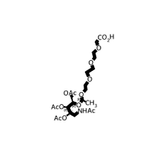 CC(=O)NC[C@@H](OC(C)=O)[C@@H](OC(C)=O)[C@@H](COC(C)=O)O[C@H](C)OCCOCCOCCOCC(=O)O